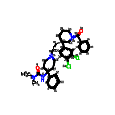 CN(C)C(=O)NC1(c2ccccc2)CCN(CCC[C@]2(c3ccc(Cl)c(Cl)c3)CCCN(C(=O)c3ccccc3)C2)CC1